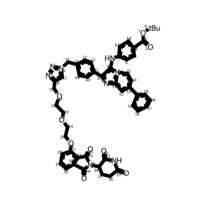 CC(C)(C)OC(=O)c1ccc(Nc2c(-c3ccc(Cn4cc(COCCOCCOc5cccc6c5C(=O)N(C5CCC(=O)NC5=O)C6=O)nn4)cc3)nc3cc(-c4ccccc4)ccn23)cc1